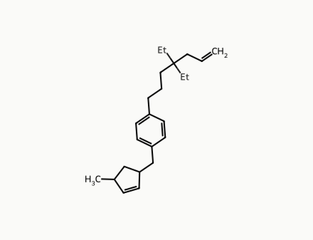 C=CCC(CC)(CC)CCCc1ccc(CC2C=CC(C)C2)cc1